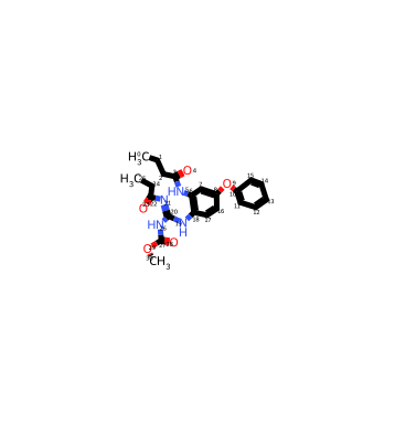 CCCC(=O)Nc1cc(Oc2ccccc2)ccc1NC(=NC(=O)CC)NC(=O)OC